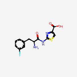 NC(Cc1cccc(F)c1)C(=O)Nc1nc(C(=O)O)cs1